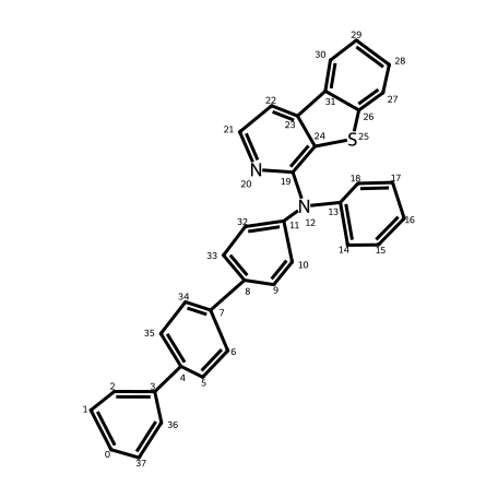 c1ccc(-c2ccc(-c3ccc(N(c4ccccc4)c4nccc5c4sc4ccccc45)cc3)cc2)cc1